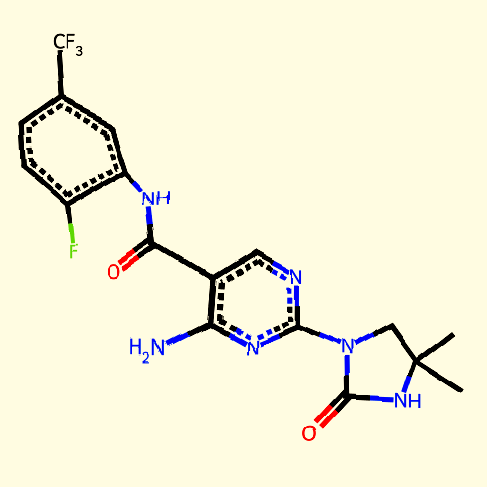 CC1(C)CN(c2ncc(C(=O)Nc3cc(C(F)(F)F)ccc3F)c(N)n2)C(=O)N1